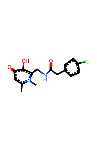 Cc1cc(=O)c(O)c(CNC(=O)Cc2ccc(Cl)cc2)n1C